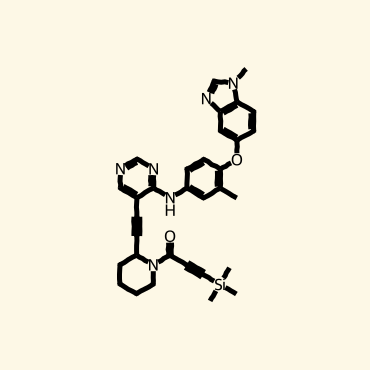 Cc1cc(Nc2ncncc2C#CC2CCCCN2C(=O)C#C[Si](C)(C)C)ccc1Oc1ccc2c(c1)ncn2C